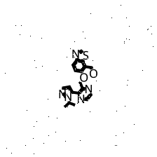 CC(C)n1nccc1-c1nccnc1COc1ccc2ncsc2c1C=O